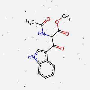 COC(=O)C(NC(C)=O)C(=O)c1c[nH]c2ccccc12